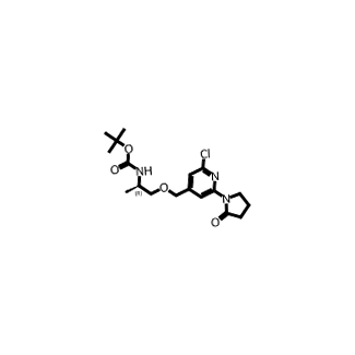 C[C@H](COCc1cc(Cl)nc(N2CCCC2=O)c1)NC(=O)OC(C)(C)C